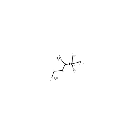 B[PH](C(C)C)(C(C)C)C(C)CCS(=O)(=O)O